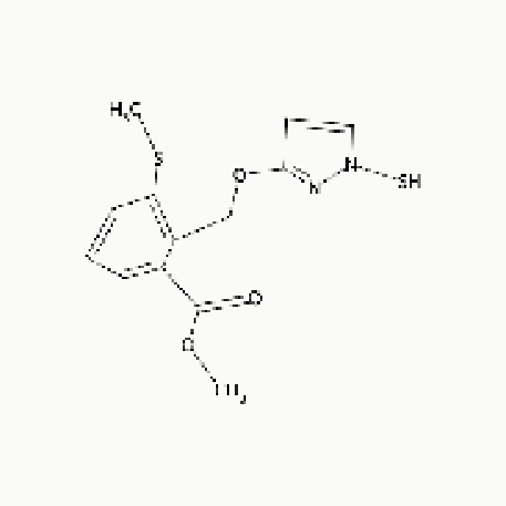 COC(=O)c1cccc(SC)c1COc1ccn(S)n1